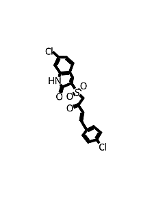 O=C(/C=C/c1ccc(Cl)cc1)CS(=O)(=O)c1cc2ccc(Cl)cc2[nH]c1=O